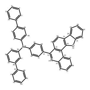 c1ccc(-c2ccc(N(c3ccc(-c4nc5ccccc5c5c4ccc4c6ccccc6oc45)cc3)c3cccc(-c4ccccc4)c3)cc2)cc1